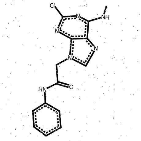 CNc1nc(Cl)nc2c1ncn2CC(=O)Nc1ccccc1